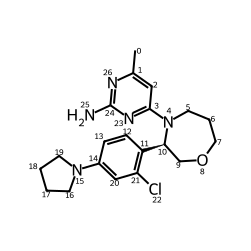 Cc1cc(N2CCCOC[C@H]2c2ccc(N3CCCC3)cc2Cl)nc(N)n1